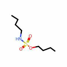 CCCCNS(=O)(=O)OCCCC